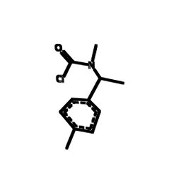 Cc1ccc(C(C)N(C)C(=O)Cl)cc1